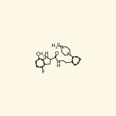 Cc1ccc(F)c2c1NC(C(=O)NCCc1ccccc1N1CCN(C)CC1)C2